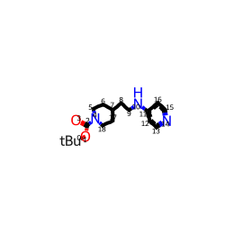 CC(C)(C)OC(=O)N1CCC(CCNc2ccncc2)CC1